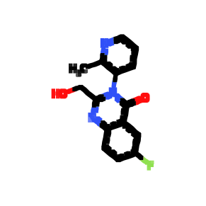 Cc1ncccc1-n1c(CO)nc2ccc(F)cc2c1=O